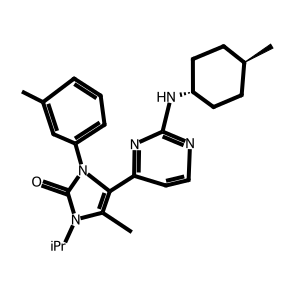 Cc1cccc(-n2c(-c3ccnc(N[C@H]4CC[C@H](C)CC4)n3)c(C)n(C(C)C)c2=O)c1